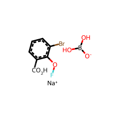 O=C(O)c1cccc(Br)c1OF.[Na+].[O-]B(O)O